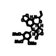 C=CC(N)O[C@H]1c2cc3c(cc2[C@@H](c2cc(OC)c(OC)c(OC)c2)[C@H]2C(=O)OC[C@@H]21)OCO3